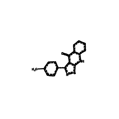 Cc1ccc(-c2nsc3[nH]c4ccccc4c(=O)c23)cc1